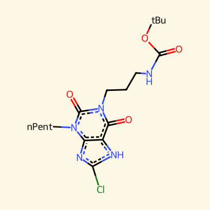 CCCCCn1c(=O)n(CCCNC(=O)OC(C)(C)C)c(=O)c2[nH]c(Cl)nc21